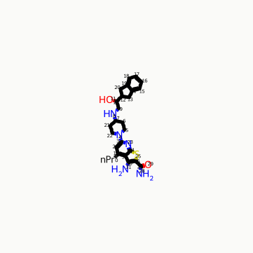 CCCc1cc(N2CCC(NCC(O)C3Cc4ccccc4C3)CC2)nc2sc(C(N)=O)c(N)c12